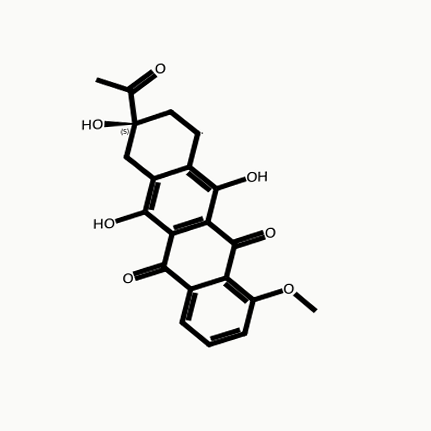 COc1cccc2c1C(=O)c1c(O)c3c(c(O)c1C2=O)C[C@](O)(C(C)=O)C[CH]3